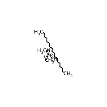 CCCCCCCCCCCCCCCCCC.CO[SiH](OC)OC